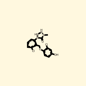 CN1NNN(c2cccc(Cl)c2COc2ccc(O)cc2Cl)C1=O